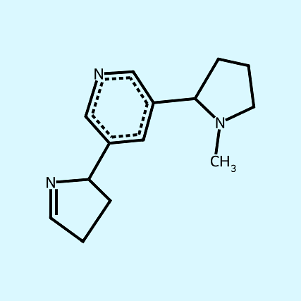 CN1CCCC1c1cncc(C2CCC=N2)c1